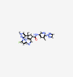 Cc1cc(NC(=O)C2CC(C)(c3cnn(C)c3)c3c2cnc2cc(F)nn32)cnc1-n1nccn1